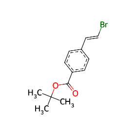 CC(C)(C)OC(=O)c1ccc(C=CBr)cc1